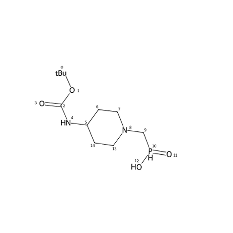 CC(C)(C)OC(=O)NC1CCN(C[PH](=O)O)CC1